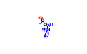 CCc1cc(O)ccc1-c1ccc2c(-c3nc(CN4CCN(C)CC4)n[nH]3)n[nH]c2c1